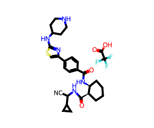 N#CC(NC(=O)[C@@H]1CCCC[C@@H]1NC(=O)c1ccc(-c2csc(NC3CCNCC3)n2)cc1)C1CC1.O=C(O)C(F)(F)F